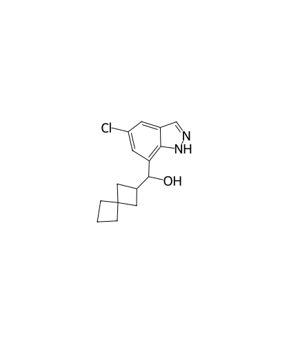 OC(c1cc(Cl)cc2cn[nH]c12)C1CC2(CCC2)C1